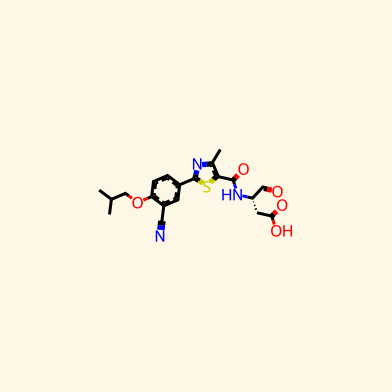 Cc1nc(-c2ccc(OCC(C)C)c(C#N)c2)sc1C(=O)N[C@H](C=O)CC(=O)O